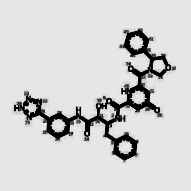 O=C(NC(Cc1ccccc1)[C@H](O)C(=O)Nc1cccc(-c2nn[nH]n2)c1)c1cc(=O)cc(C(=O)N2COCC2c2ccccc2)[nH]1